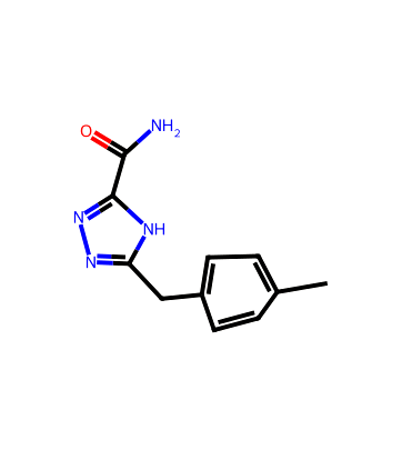 Cc1ccc(Cc2nnc(C(N)=O)[nH]2)cc1